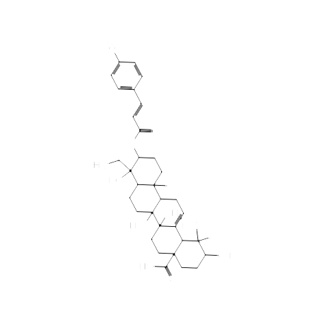 CC1CCC2(C(=O)O)CCC3(C)C(=CCC4C5(C)CCC(OC(=O)/C=C/c6ccc(O)cc6)C(C)(CO)C5CCC43C)C2C1(C)O